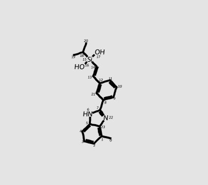 Cc1cccc2[nH]c(-c3cccc(C=C[Si](O)(O)C(C)C)c3)nc12